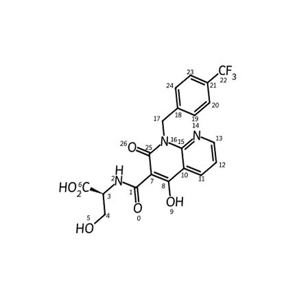 O=C(N[C@@H](CO)C(=O)O)c1c(O)c2cccnc2n(Cc2ccc(C(F)(F)F)cc2)c1=O